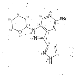 Brc1cc2c(-c3cc[nH]n3)nn(C3CCCCO3)c2cn1